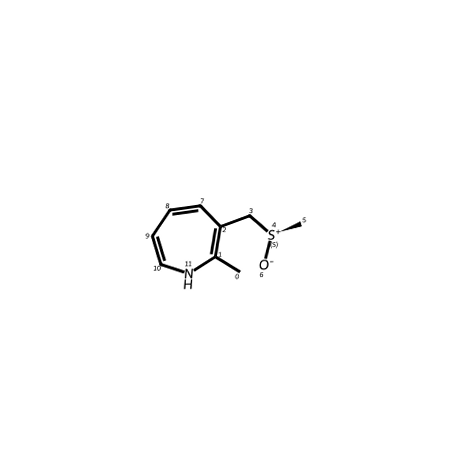 CC1=C(C[S@@+](C)[O-])C=CC=CN1